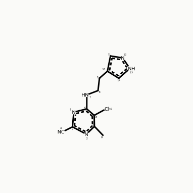 Cc1nc(C#N)nc(NCCc2cn[nH]c2)c1Cl